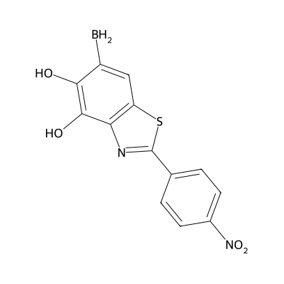 Bc1cc2sc(-c3ccc([N+](=O)[O-])cc3)nc2c(O)c1O